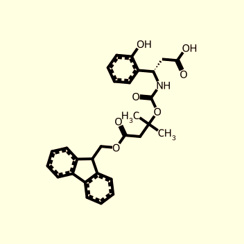 CC(C)(CC(=O)OCC1c2ccccc2-c2ccccc21)OC(=O)N[C@@H](CC(=O)O)c1ccccc1O